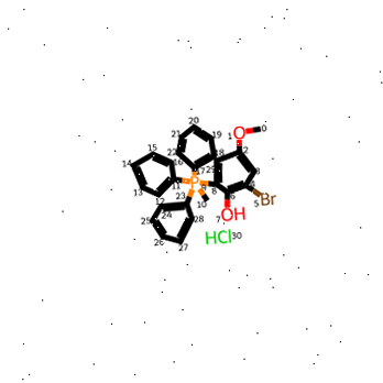 COc1cc(Br)c(O)c(P(C)(c2ccccc2)(c2ccccc2)c2ccccc2)c1.Cl